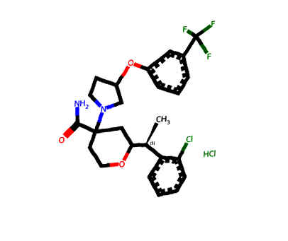 C[C@@H](c1ccccc1Cl)C1CC(C(N)=O)(N2CCC(Oc3cccc(C(F)(F)F)c3)C2)CCO1.Cl